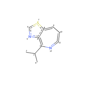 CC(C)C1=c2ncsc2=CC=C=N1